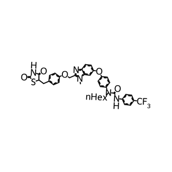 CCCCCCN(C(=O)Nc1ccc(C(F)(F)F)cc1)c1ccc(Oc2ccc3nc(COc4ccc(CC5SC(=O)NC5=O)cc4)n(C)c3c2)cc1